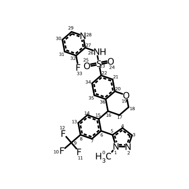 Cn1nccc1-c1cc(C(F)(F)F)ccc1C1CCOc2cc(S(=O)(=O)Nc3ncccc3F)ccc21